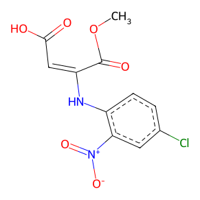 COC(=O)C(=CC(=O)O)Nc1ccc(Cl)cc1[N+](=O)[O-]